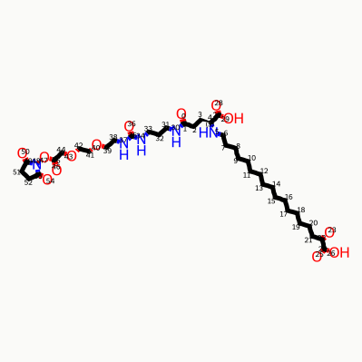 O=C(CC[C@H](NCCCCCCCCCCCCCCCCC(=O)C(=O)O)C(=O)O)NCCCNC(=O)NCCOCCOCC(=O)ON1C(=O)CCC1=O